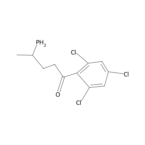 CC(P)CCC(=O)c1c(Cl)cc(Cl)cc1Cl